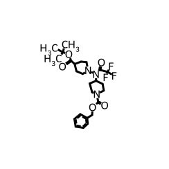 CC(C)(C)OC(=O)C1CCN(N(C(=O)C(F)(F)F)C2CCN(C(=O)OCc3ccccc3)CC2)CC1